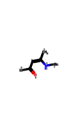 CCC(=O)/C=C(/C)NC(C)(C)C